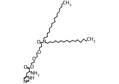 CCCCCCCCCCCCCCCCN(CCCCCCCCCCCCCCCC)C(=O)CCOCCOCCOC(=O)C(N)Cc1cnc[nH]1